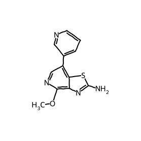 COc1ncc(-c2cccnc2)c2sc(N)nc12